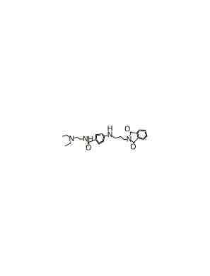 CCN(CC)CCNC(=O)c1ccc(NCCCN2C(=O)c3ccccc3C2=O)cc1